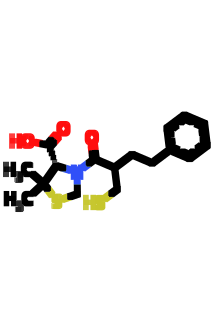 CC1(C)SCN(C(=O)C(CS)CCc2ccccc2)[C@H]1C(=O)O